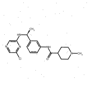 C[C@H](Nc1cncc(Cl)n1)c1cccc(NC(=O)C2CCN(C)CC2)c1